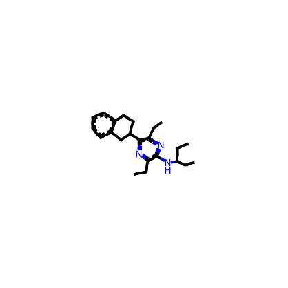 CCc1nc(C2CCc3ccccc3C2)c(CC)nc1NC(CC)CC